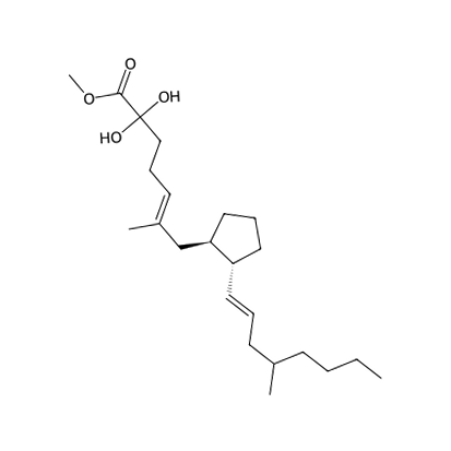 CCCCC(C)CC=C[C@H]1CCC[C@@H]1CC(C)=CCCC(O)(O)C(=O)OC